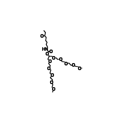 CCC(=O)CCCCCNC(=O)OC(COCCOCCOCCOCCOC)COCCOCCOCCOCCOC